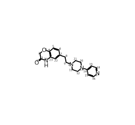 O=C1COc2ccc(CCN3CCN(c4ccncc4)CC3)cc2N1